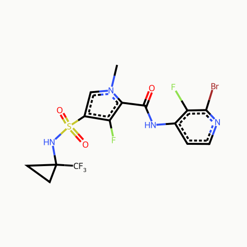 Cn1cc(S(=O)(=O)NC2(C(F)(F)F)CC2)c(F)c1C(=O)Nc1ccnc(Br)c1F